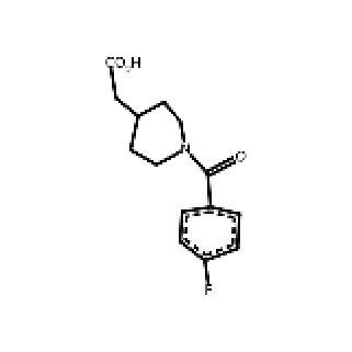 O=C(O)CC1CCN(C(=O)c2ccc(F)cc2)CC1